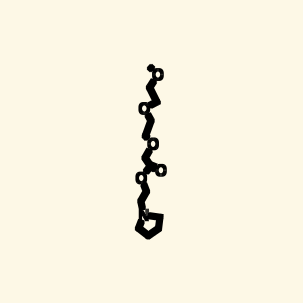 COCCOCCOCC(=O)OCCN1CCCC1